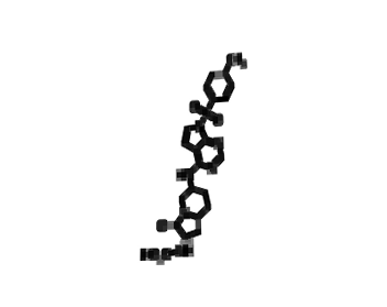 Cc1ccc(S(=O)(=O)n2ccc3c(NC4CCC5C[C@H](NC(=O)O)C(=O)N5C4)ncnc32)cc1